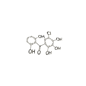 O=C(c1cc(Cl)c(O)c(O)c1O)c1c(O)cccc1O